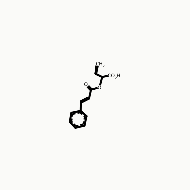 C=CC(OC(=O)/C=C/c1ccccc1)C(=O)O